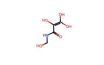 O=C(NCO)C(O)=C(O)O